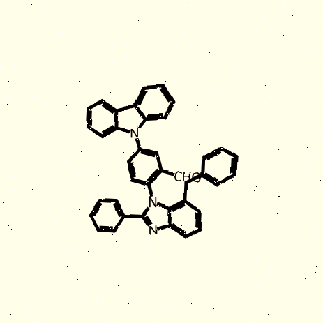 O=Cc1cc(-n2c3ccccc3c3ccccc32)ccc1-n1c(-c2ccccc2)nc2cccc(Cc3ccccc3)c21